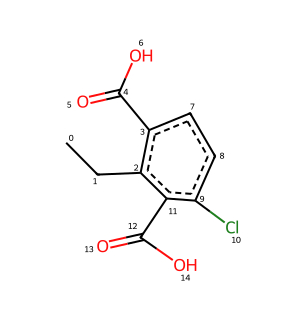 CCc1c(C(=O)O)ccc(Cl)c1C(=O)O